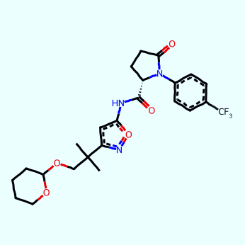 CC(C)(COC1CCCCO1)c1cc(NC(=O)[C@@H]2CCC(=O)N2c2ccc(C(F)(F)F)cc2)on1